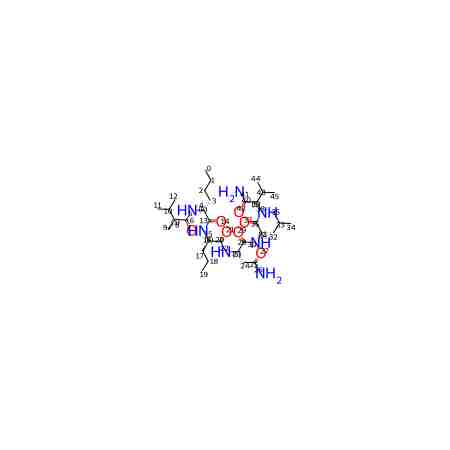 CCCC[C@@H](NC(=O)[C@@H](C)C(C)C)C(=O)N[C@H](CCC)C(=O)N[C@@H](CC(N)=O)C(=O)N[C@@H](CC(C)C)C(=O)N[C@H](C(N)=O)C(C)C